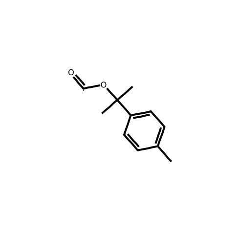 Cc1ccc(C(C)(C)O[C]=O)cc1